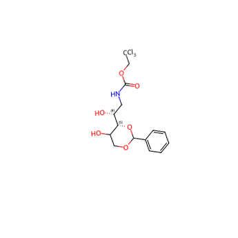 O=C(NC[C@@H](O)[C@@H]1OC(c2ccccc2)OCC1O)OCC(Cl)(Cl)Cl